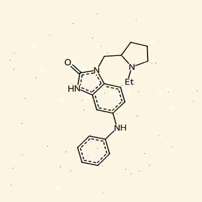 CCN1CCCC1Cn1c(=O)[nH]c2cc(Nc3ccccc3)ccc21